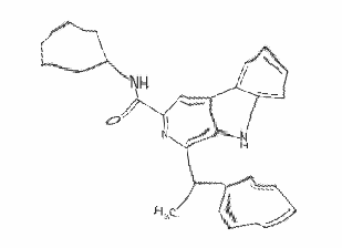 CC(c1ccccc1)c1nc(C(=O)NC2CCCCC2)cc2c1[nH]c1ccccc12